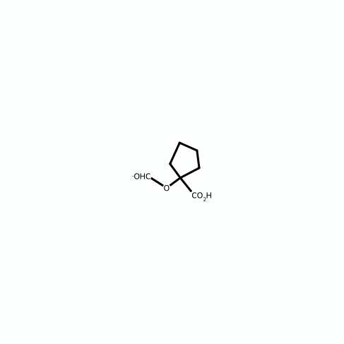 O=[C]OC1(C(=O)O)CCCC1